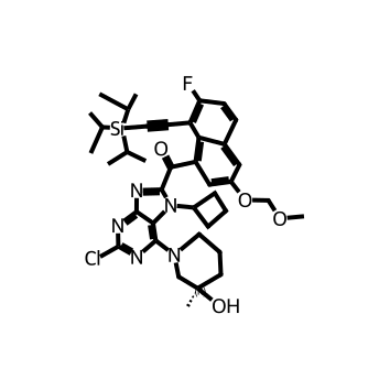 COCOc1cc(C(=O)c2nc3nc(Cl)nc(N4CCC[C@@](C)(O)C4)c3n2C2CCC2)c2c(C#C[Si](C(C)C)(C(C)C)C(C)C)c(F)ccc2c1